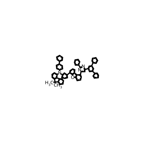 CC1(C)c2ccccc2-c2c(N(c3ccc(-c4ccccc4)cc3)c3cccc(-c4cccc5c4oc4cccc(-c6cc(-c7cc(-c8ccccc8)cc(-c8ccccc8)c7)nc(-c7ccccc7)n6)c45)c3)cccc21